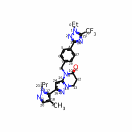 CCn1nc(-c2ccc(CN3C(=O)CCn4nc(-c5c(C)cnn5C(C)C)cc43)cc2)nc1C(F)(F)F